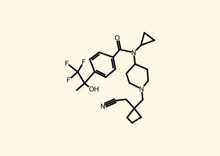 CC(O)(c1ccc(C(=O)N(C2CC2)C2CCN(CC3(CC#N)CCC3)CC2)cc1)C(F)(F)F